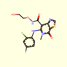 Cn1c(Nc2ccc(I)cc2F)c(C(=O)NOCCO)c2ncsc2c1=O